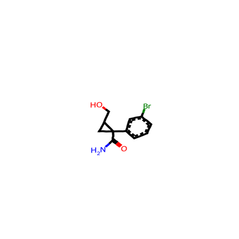 NC(=O)C1(c2cccc(Br)c2)CC1CO